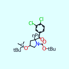 CCCC1(C(=O)c2ccc(Cl)c(Cl)c2)CC(O[Si](C)(C)C(C)(C)C)CN1C(=O)OC(C)(C)C